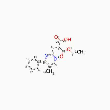 CCOC(=O)C(Cc1ncc(C)c(-c2ccccc2)n1)C(=O)O